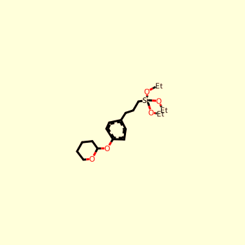 CCO[Si](CCCc1ccc(OC2CCCCO2)cc1)(OCC)OCC